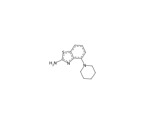 Nc1nc2c(N3CCCCC3)cccc2s1